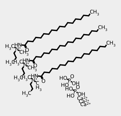 CCCCCCCCCCCCCCCCCC(=O)N[N+](C)(C)CCC.CCCCCCCCCCCCCCCCCC(=O)N[N+](C)(C)CCC.CCCCCCCCCCCCCCCCCC(=O)N[N+](C)(C)CCC.O=P(O)(O)O.O=P(O)(O)O.[Ca+2].[Ca+2].[Ca+2]